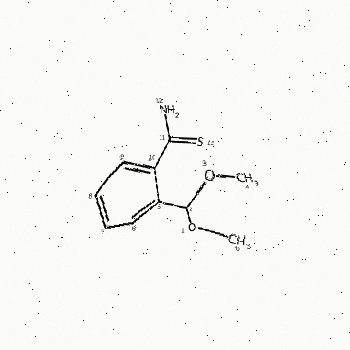 COC(OC)c1ccccc1C(N)=S